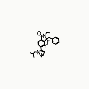 CCN1C(=O)c2ccc(-c3ccnn3CC(C)C)c(F)c2C1(F)Cc1ccccc1